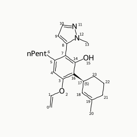 C=COc1cc(CCCCC)c(-c2ccnn2C)c(O)c1[C@@H]1C=C(C)CCC1